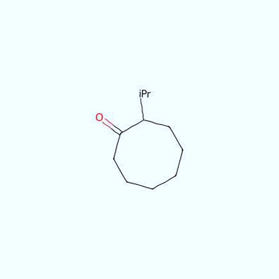 CC(C)C1CCCCCCC1=O